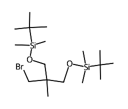 CC(CBr)(CO[Si](C)(C)C(C)(C)C)CO[Si](C)(C)C(C)(C)C